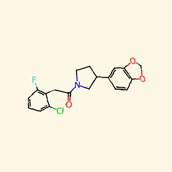 O=C(Cc1c(F)cccc1Cl)N1CCC(c2ccc3c(c2)OCO3)C1